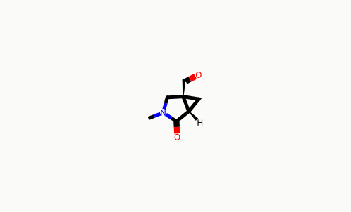 CN1C[C@]2(C=O)C[C@@H]2C1=O